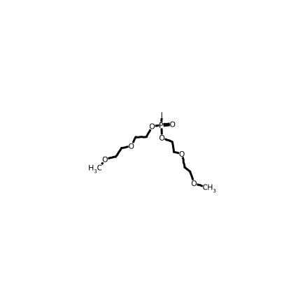 COCCOCCOP(=O)(I)OCCOCCOC